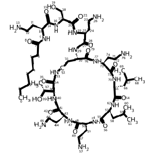 CCCCCCCC(=O)N[C@@H](CCN)C(=O)N[C@@H](CO)C(=O)N[C@@H](CCN)C(=O)N[C@H]1CCNC(=O)[C@H]([C@@H](C)O)NC(=O)[C@H](CCN)NC(=O)[C@H](CCN)NC(=O)[C@H](CC(C)C)NC(=O)[C@@H](CC(C)C)NC(=O)[C@H](CCN)NC1=O